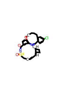 O=C1/N=[SH](=O)\CCC/C=C/C[C@@H]2CC[C@H]2CN2Cc3ccc(Cl)cc3CCCCOc3ccc1cc32